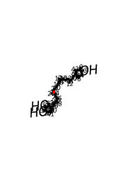 C=C1C(O)CC(C)(C)[C@@H](CCC(C)CCCC(C)CCCCC(C)CCCC(C)CCC2C(C)C(O)C(O)CC2(C)C)C1C